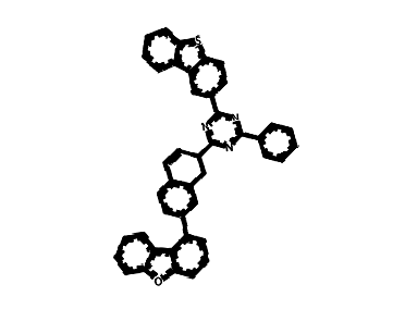 C1=CC(c2nc(-c3ccccc3)nc(-c3ccc4sc5ccccc5c4c3)n2)Cc2cc(-c3cccc4oc5ccccc5c34)ccc21